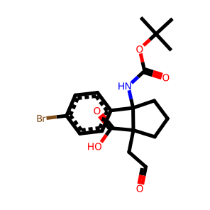 CC(C)(C)OC(=O)NC1(c2ccc(Br)cc2)CCCC1(CC=O)C(=O)O